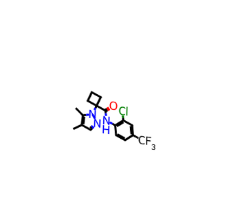 Cc1cnn(C2(C(=O)Nc3ccc(C(F)(F)F)cc3Cl)CCC2)c1C